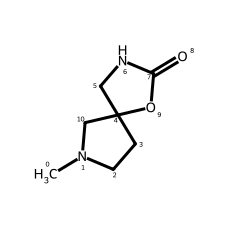 CN1CCC2(CNC(=O)O2)C1